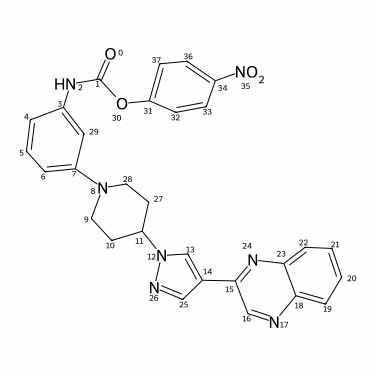 O=C(Nc1cccc(N2CCC(n3cc(-c4cnc5ccccc5n4)cn3)CC2)c1)Oc1ccc([N+](=O)[O-])cc1